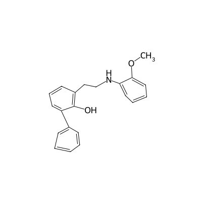 COc1ccccc1NCCc1cccc(-c2ccccc2)c1O